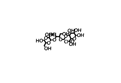 O=CC(OC(CO)C(C=O)O[C@H]1OC(CO)[C@@H](O)OC1O)O[C@@H]1C(CO)O[C@H](O)C(O)C1O